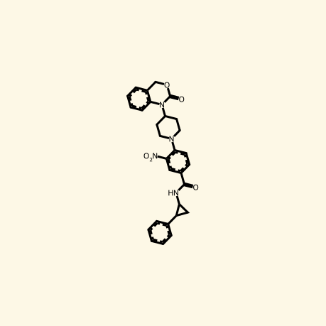 O=C(NC1CC1c1ccccc1)c1ccc(N2CCC(N3C(=O)OCc4ccccc43)CC2)c([N+](=O)[O-])c1